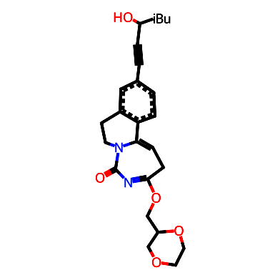 CCC(C)C(O)C#Cc1ccc2c(c1)CCN1C(=O)N=C(OCC3COCCO3)CC=C21